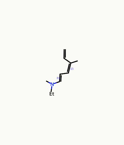 C=C/C(C)=C\C=C\N(C)CC